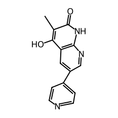 Cc1c(O)c2cc(-c3ccncc3)cnc2[nH]c1=O